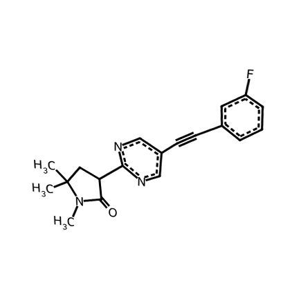 CN1C(=O)C(c2ncc(C#Cc3cccc(F)c3)cn2)CC1(C)C